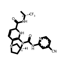 C[C@@H](NC(=O)C1C=CC2=C(N1)N(C(=O)Nc1cc(C#N)ccn1)[C@H]1CCN2C1)C(F)(F)F